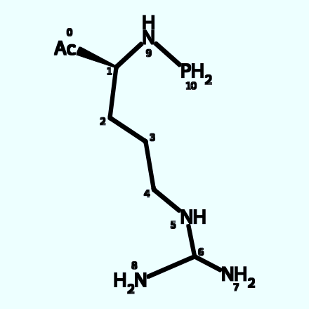 CC(=O)[C@H](CCCNC(N)N)NP